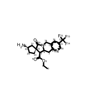 CCOC(=O)C1C2Cc3ncc(C(F)(F)F)cc3CN2C(=O)[C@]12CC[C@@H](N)C2